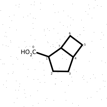 O=C(O)C1CCC2CCC21